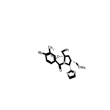 COC[C@H]1C[C@@](CC(C)C)(C(=O)O)N(C(=O)c2ccc(C(C)(C)C)c(C)c2)[C@H]1c1nccs1